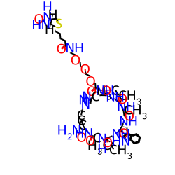 CC(C)C[C@H]1NC(=O)[C@@H](Cc2c[nH]c3ccccc23)NC(=O)[C@@H](C)NC(=O)[C@@H](C(C)C)NC(=O)[C@@H](NC(=O)COCCOCCOCCNC(=O)CCCC[C@H]2SC[C@H]3NC(=O)N[C@H]32)Cc2cn(nn2)CCCC[C@@H](C(N)=O)NC(=O)CNC1=O